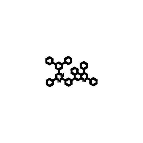 c1ccc(-c2cc(-c3ccccc3)cc(-c3cc(-c4ccccc4)nc(-c4cccc(-c5cc6nc(-c7ccccc7)cc(-c7ccccc7)c6c6ccccc56)c4)n3)c2)cc1